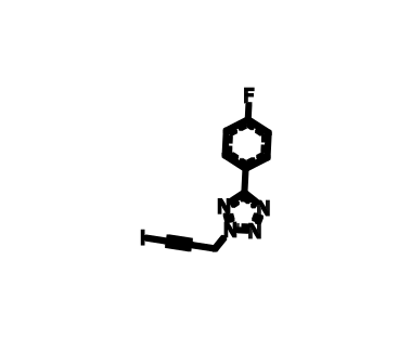 Fc1ccc(-c2nnn(CC#CI)n2)cc1